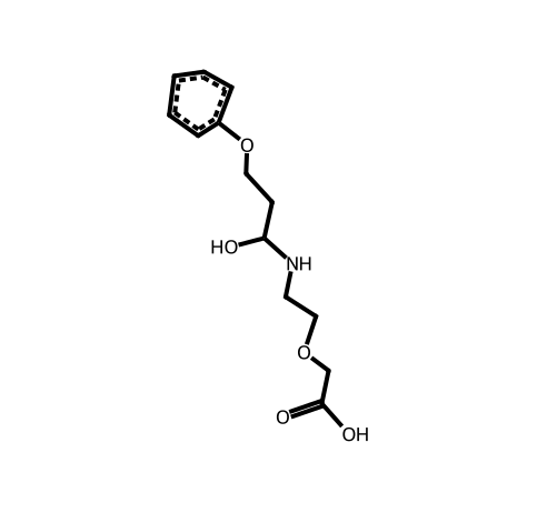 O=C(O)COCCNC(O)CCOc1ccccc1